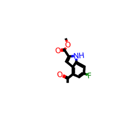 COC(=O)c1cc2c(C(C)=O)cc(F)cc2[nH]1